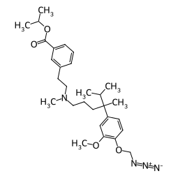 COc1cc(C(C)(CCCN(C)CCc2cccc(C(=O)OC(C)C)c2)C(C)C)ccc1OCN=[N+]=[N-]